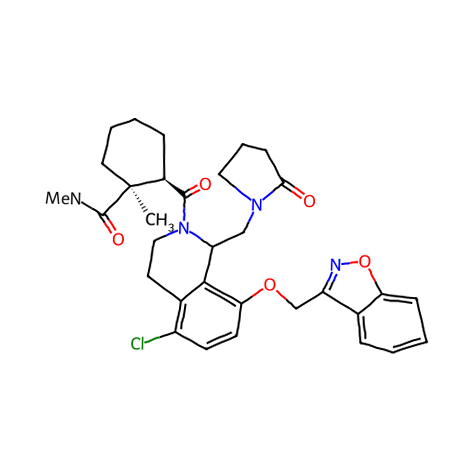 CNC(=O)[C@@]1(C)CCCC[C@H]1C(=O)N1CCc2c(Cl)ccc(OCc3noc4ccccc34)c2C1CN1CCCC1=O